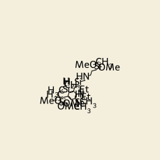 CCN(CC)c1c([SiH](C)C)cc(C(C)[Si](OC)(OC)OC)c([SiH](C)C)c1CC[SiH2]CNCCC[Si](C)(OC)OC